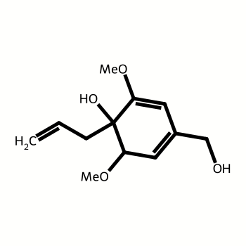 C=CCC1(O)C(OC)=CC(CO)=CC1OC